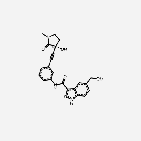 CN1CC[C@@](O)(C#Cc2cccc(NC(=O)c3n[nH]c4ccc(CO)cc34)c2)C1=O